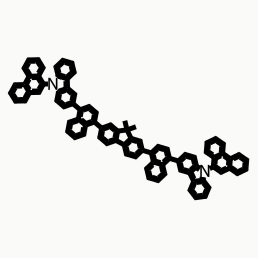 CC1(C)c2cc(-c3ccc(-c4ccc5c(c4)c4ccccc4n5-c4cc5ccccc5c5ccccc45)c4ccccc34)ccc2-c2ccc(-c3ccc(-c4ccc5c(c4)c4ccccc4n5-c4cc5ccccc5c5ccccc45)c4ccccc34)cc21